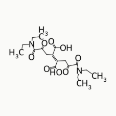 CCN(CC)C(=O)C(=O)CC(C(=O)O)=C(CC(=O)C(=O)N(CC)CC)C(=O)O